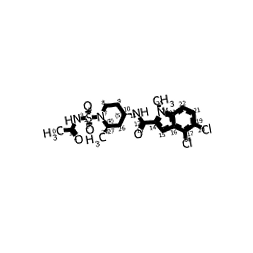 CC(=O)NS(=O)(=O)N1CC[C@H](NC(=O)c2cc3c(Cl)c(Cl)ccc3n2C)C[C@H]1C